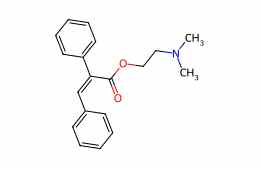 CN(C)CCOC(=O)C(=Cc1ccccc1)c1ccccc1